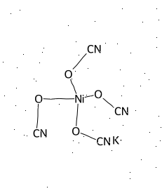 N#C[O][Ni]([O]C#N)([O]C#N)[O]C#N.[K]